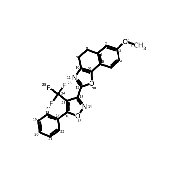 COc1ccc2c(c1)CCc1nc(-c3noc(-c4ccccc4)c3C(F)(F)F)oc1-2